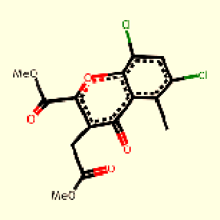 COC(=O)Cc1c(C(=O)OC)oc2c(Cl)cc(Cl)c(C)c2c1=O